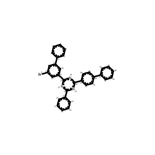 Brc1cc(-c2ccccc2)cc(-c2nc(-c3ccccc3)nc(-c3ccc(-c4ccccc4)cc3)n2)c1